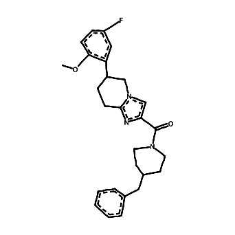 COc1ccc(F)cc1C1CCc2nc(C(=O)N3CCC(Cc4ccccc4)CC3)cn2C1